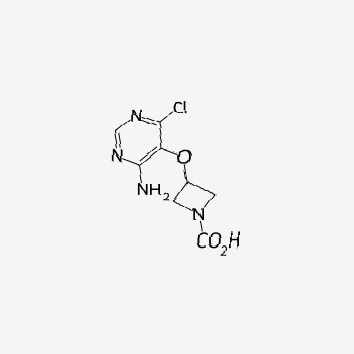 Nc1ncnc(Cl)c1OC1CN(C(=O)O)C1